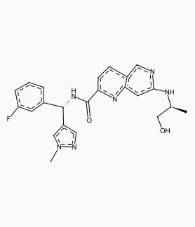 C[C@@H](CO)Nc1cc2nc(C(=O)N[C@@H](c3cccc(F)c3)c3cnn(C)c3)ccc2cn1